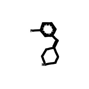 Fc1cccc(C=C2CCNCC2)c1